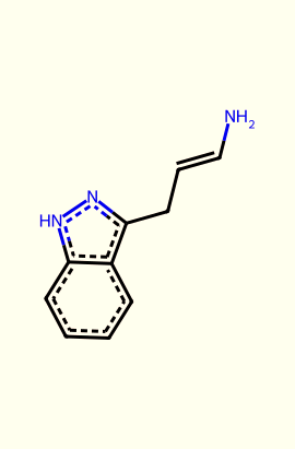 NC=CCc1n[nH]c2ccccc12